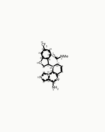 CNC(=O)[C@@H]1C=Cc2nc(N)c3cncn3c2N1C1COc2cc(C(F)(F)F)ccc21